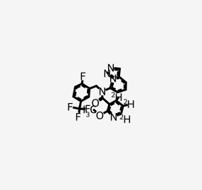 [2H]c1nc(OC)c(C(=O)N(Cc2cc(C(F)(F)F)ccc2F)c2cccc3cnnn23)c([2H])c1[2H]